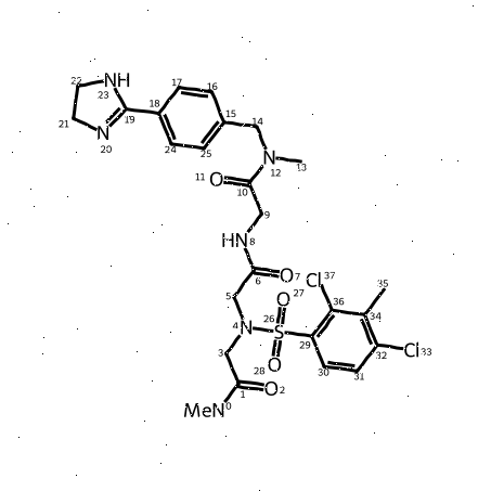 CNC(=O)CN(CC(=O)NCC(=O)N(C)Cc1ccc(C2=NCCN2)cc1)S(=O)(=O)c1ccc(Cl)c(C)c1Cl